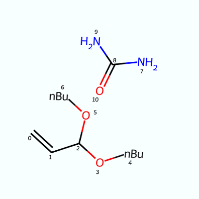 C=CC(OCCCC)OCCCC.NC(N)=O